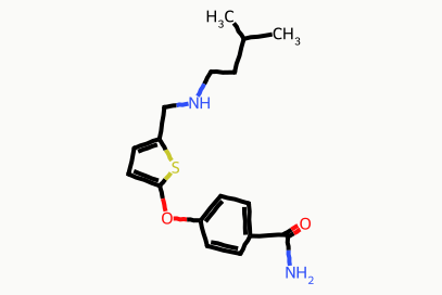 CC(C)CCNCc1ccc(Oc2ccc(C(N)=O)cc2)s1